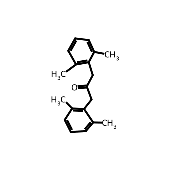 Cc1cccc(C)c1CC(=O)Cc1c(C)cccc1C